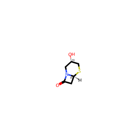 O=C1C[C@@H]2SC[C@@H](O)CN12